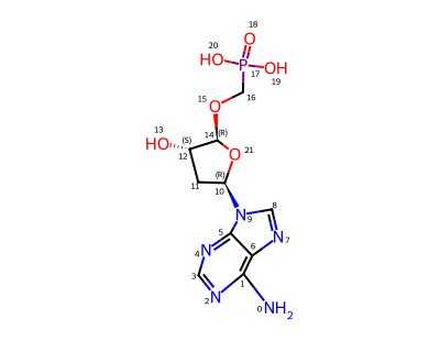 Nc1ncnc2c1ncn2[C@H]1C[C@H](O)[C@@H](OCP(=O)(O)O)O1